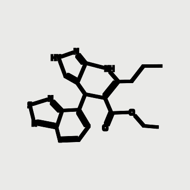 CCCC1=C(C(=O)OCC)C(c2cccc3nsnc23)c2c[nH]nc2N1